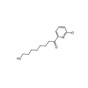 O=C(CCCCCCCO)c1cccc(Cl)n1